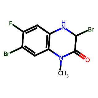 CN1C(=O)C(Br)Nc2cc(F)c(Br)cc21